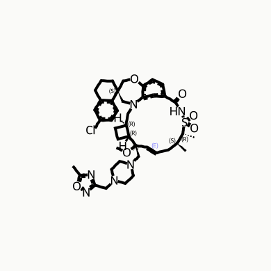 CO[C@@]1(CN2CCN(Cc3noc(C)n3)CC2)/C=C/C[C@H](C)[C@@H](C)S(=O)(=O)NC(=O)c2ccc3c(c2)N(C[C@@H]2CC[C@H]21)C[C@@]1(CCCc2cc(Cl)ccc21)CO3